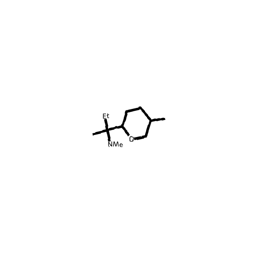 CCC(C)(NC)C1CCC(C)CO1